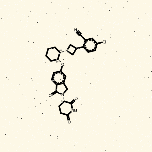 N#Cc1cc(Cl)ccc1C1CN([C@H]2CCCC[C@H]2Oc2ccc3c(c2)CN([C@H]2CCC(=O)NC2=O)C3=O)C1